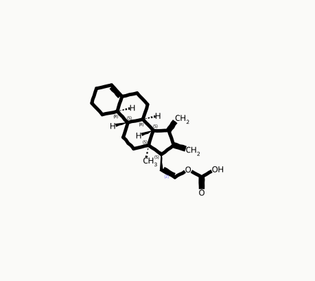 C=C1C(=C)[C@H]2[C@@H]3CCC4=CCCC[C@@H]4[C@H]3CC[C@]2(C)[C@@H]1/C=C\OC(=O)O